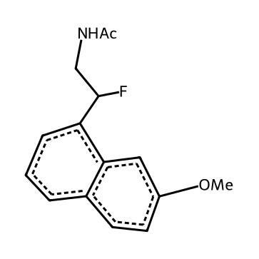 COc1ccc2cccc(C(F)CNC(C)=O)c2c1